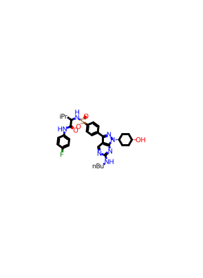 CCCCNc1ncc2c(-c3ccc(S(=O)(=O)NC(C(=O)Nc4ccc(F)cc4)C(C)C)cc3)nn([C@H]3CC[C@@H](O)CC3)c2n1